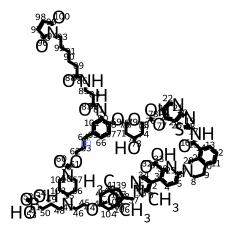 Cc1c(-c2ccc(N3CCc4cccc(C(=O)Nc5nc6ncccc6s5)c4C3)nc2C(=O)O)cnn1CC12CC3(C)CC(OCCN(CCCP(=O)(O)O)C4CCN(C(=O)OC/C=C/c5ccc(O[C@H]6CC(O)C[C@@H](C(=O)O)O6)c(NC(=O)CCNC(=O)CCCCCN6C(=O)C=CC6=O)c5)CC4)(CC1(C)C3)C2